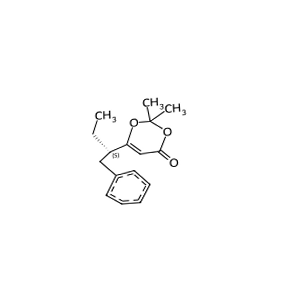 CC[C@@H](Cc1ccccc1)C1=CC(=O)OC(C)(C)O1